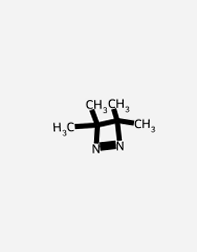 CC1(C)N=NC1(C)C